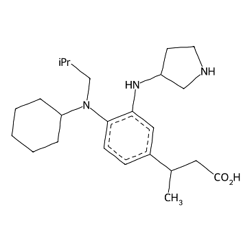 CC(C)CN(c1ccc(C(C)CC(=O)O)cc1NC1CCNC1)C1CCCCC1